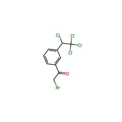 O=C(CBr)c1cccc(C(Cl)C(Cl)(Cl)Cl)c1